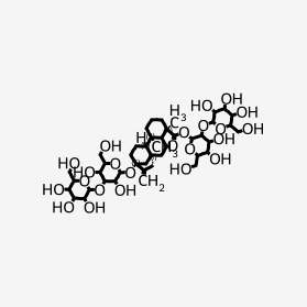 C=C1C[C@@]23CCC4[C@](C)(C(=O)OC5OC(CO)C(O)C(O)C5OC5OC(CO)C(O)C(O)C5O)CCC[C@@]4(C)[C@@H]2CC[C@]1(OC1OC(CO)C(O)C(OC2OC(CO)C(O)C(O)C2O)C1O)C3